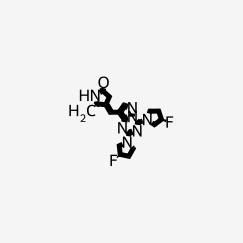 C=C1NC(=O)C/C1=C\c1cnn2c(N3CC[C@@H](F)C3)nc(N3CC[C@H](F)C3)nc12